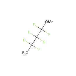 [CH2]OC(F)(F)C(F)(F)C(F)(F)C(F)(F)F